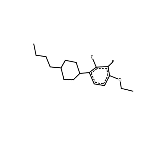 CCCCC1CCC(c2ccc(OCC)c(F)c2F)CC1